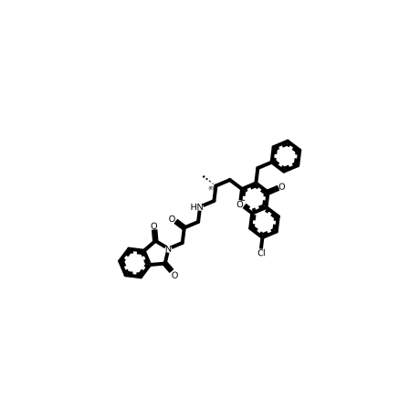 C[C@@H](CNCC(=O)CN1C(=O)c2ccccc2C1=O)Cc1oc2cc(Cl)ccc2c(=O)c1Cc1ccccc1